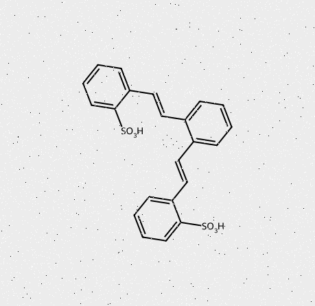 O=S(=O)(O)c1ccccc1C=Cc1ccccc1C=Cc1ccccc1S(=O)(=O)O